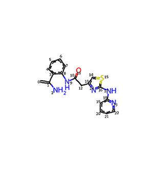 C=C(N)c1ccccc1NC(=O)Cc1csc(Nc2ccccn2)n1